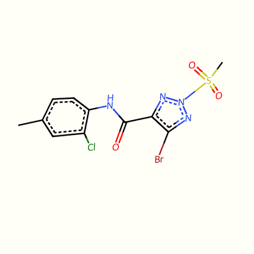 Cc1ccc(NC(=O)c2nn(S(C)(=O)=O)nc2Br)c(Cl)c1